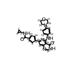 O=C(NC1CC1)c1ccc(-c2cc3nc[nH]c(=O)c3c(Nc3ccc(N4CCOCC4)cc3)n2)cc1